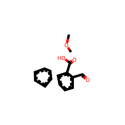 COC.O=Cc1ccccc1C(=O)O.c1ccccc1